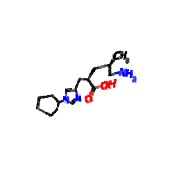 C[C@@H](CN)C[C@H](Cc1cn(C2CCCCC2)cn1)C(=O)O